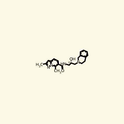 Cc1cc2ccc(C(=O)NC[C@H](O)CN3CCc4ccccc4C3)c(C)n2n1